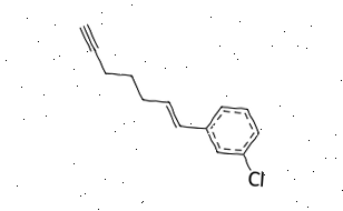 C#CCCCC=Cc1cccc(Cl)c1